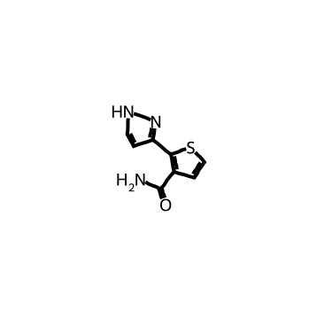 NC(=O)c1ccsc1-c1cc[nH]n1